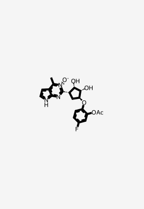 CC(=O)Oc1cc(F)ccc1O[C@H]1C[C@H](c2nc3[nH]ccc3c(C)[n+]2[O-])[C@H](O)[C@@H]1O